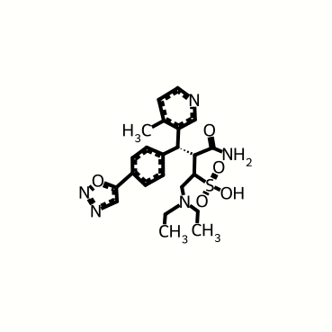 CCN(CC)CC(C(C(N)=O)[C@H](c1ccc(-c2cnno2)cc1)c1cnccc1C)S(=O)(=O)O